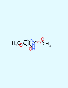 COc1ccc2nc(COC(C)=O)[nH]c(=O)c2c1